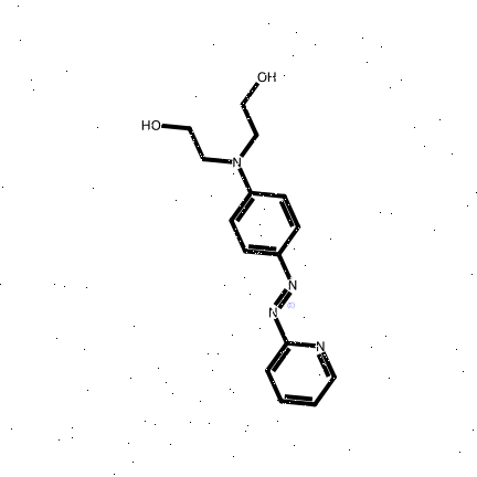 OCCN(CCO)c1ccc(/N=N/c2ccccn2)cc1